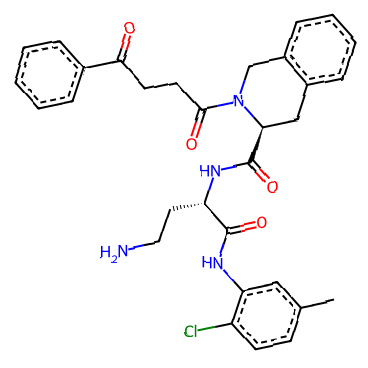 Cc1ccc(Cl)c(NC(=O)[C@H](CCN)NC(=O)[C@@H]2Cc3ccccc3CN2C(=O)CCC(=O)c2ccccc2)c1